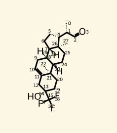 C[C@H](C=O)[C@H]1CC[C@H]2[C@@H]3CC=C4C[C@](O)(C(F)(F)F)CC[C@]4(C)[C@H]3CC[C@]12C